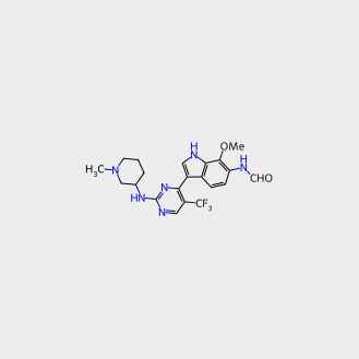 COc1c(NC=O)ccc2c(-c3nc(NC4CCCN(C)C4)ncc3C(F)(F)F)c[nH]c12